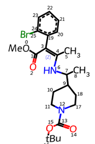 COC(=O)/C(=C(/C)NC(C)C1CCN(C(=O)OC(C)(C)C)CC1)c1ccccc1Br